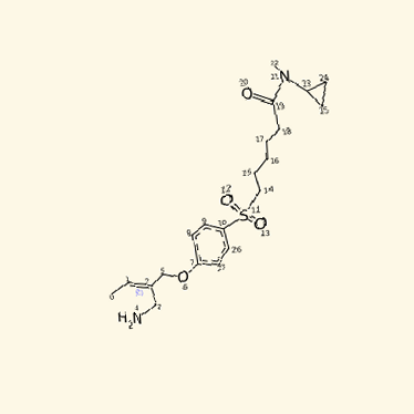 C/C=C(\CN)COc1ccc(S(=O)(=O)CCCCCC(=O)N(C)C2CC2)cc1